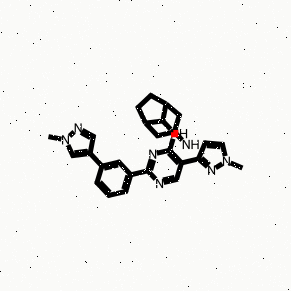 Cn1cc(-c2cccc(-c3ncc(-c4ccn(C)n4)c(NC4C5CCC4CC(N)C5)n3)c2)cn1